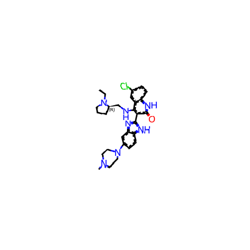 CCN1CCC[C@@H]1CNc1c(-c2nc3cc(N4CCN(C)CC4)ccc3[nH]2)c(=O)[nH]c2ccc(Cl)cc12